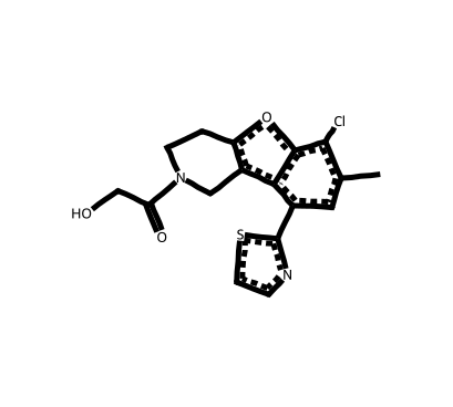 Cc1cc(-c2nccs2)c2c3c(oc2c1Cl)CCN(C(=O)CO)C3